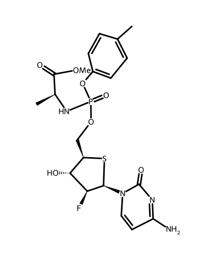 COC(=O)[C@H](C)NP(=O)(OC[C@H]1S[C@@H](n2ccc(N)nc2=O)[C@@H](F)[C@@H]1O)Oc1ccc(C)cc1